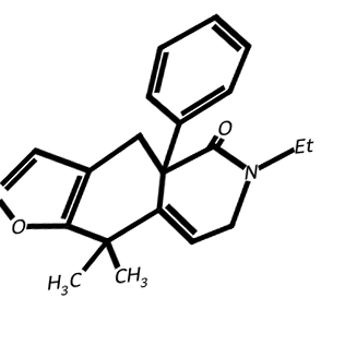 CCN1CC=C2C(C)(C)c3oncc3CC2(c2ccccc2)C1=O